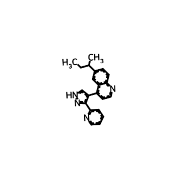 CCC(C)c1ccc2nccc(-c3c[nH]nc3-c3ccccn3)c2c1